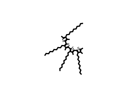 CCCCCCCCCCc1c(C)sc(-c2sc(-c3sc(-c4sc(C)c(C)c4CCCCCCCCCC)c(C)c3CCCCCCCCCC)c(C)c2CCCCCCCCCC)c1C